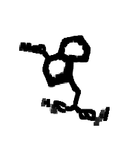 COc1ccc(C[C@H](C)C(=O)O)c2ccccc12